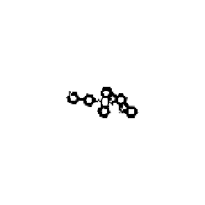 c1cncc(-c2ccc(N3c4ccccc4-n4c5c3cccc5c3ccc5c6ccccc6sc5c34)cc2)c1